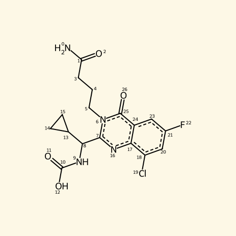 NC(=O)CCCn1c(C(NC(=O)O)C2CC2)nc2c(Cl)cc(F)cc2c1=O